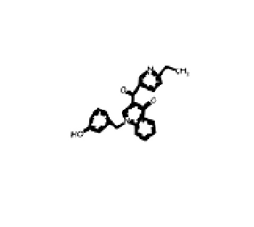 CCc1ccc(C(=O)c2cn(Cc3cccc(O)c3)c3ccccc3c2=O)cn1